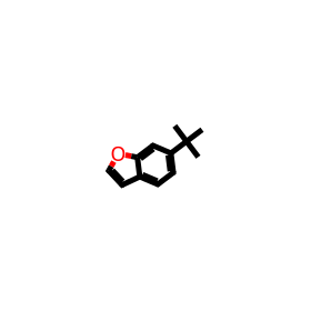 CC(C)(C)c1ccc2ccoc2c1